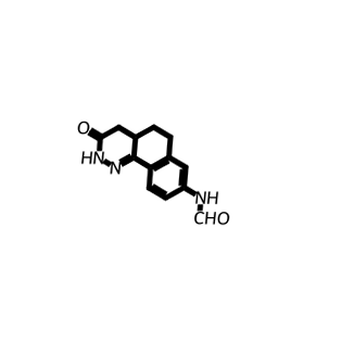 O=CNc1ccc2c(c1)CCC1CC(=O)NN=C21